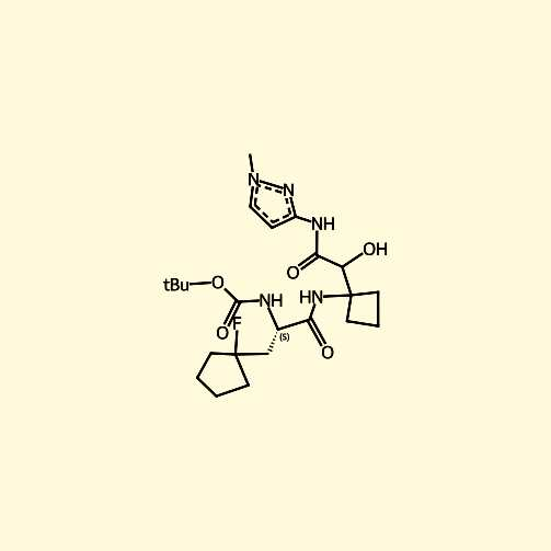 Cn1ccc(NC(=O)C(O)C2(NC(=O)[C@H](CC3(F)CCCC3)NC(=O)OC(C)(C)C)CCC2)n1